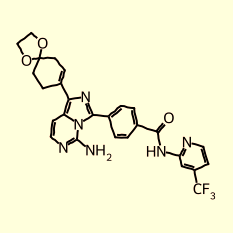 Nc1nccc2c(C3=CCC4(CC3)OCCO4)nc(-c3ccc(C(=O)Nc4cc(C(F)(F)F)ccn4)cc3)n12